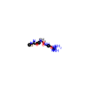 CN(CCOC(=O)NCc1ccc(COc2nc(N)nc3[nH]cnc23)cc1)c1ccc2oc(/C=C(\C#N)c3nc4ccccc4s3)cc2c1